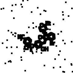 CCC1CN(N2C(=O)C(Cc3ccc(Oc4ccc(C#N)cc4C(F)(F)F)cc3O)c3c(Br)cccc32)CCO1